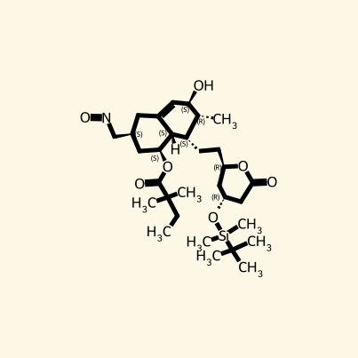 CCC(C)(C)C(=O)O[C@H]1C[C@@H](CN=O)CC2=C[C@@H](O)[C@H](C)[C@H](CC[C@@H]3C[C@@H](O[Si](C)(C)C(C)(C)C)CC(=O)O3)[C@@H]21